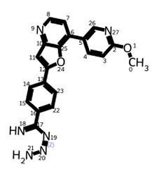 COc1ccc(-c2ccnc3cc(-c4ccc(C(=N)/N=N\N)cc4)oc23)cn1